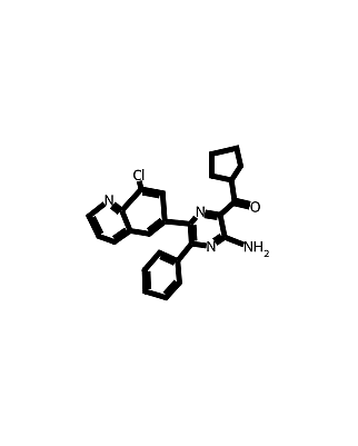 Nc1nc(-c2ccccc2)c(-c2cc(Cl)c3ncccc3c2)nc1C(=O)C1CCCC1